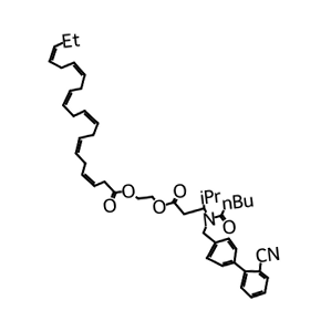 CC/C=C\C/C=C\C/C=C\C/C=C\C/C=C\C/C=C\CC(=O)OCCOC(=O)CC(C(C)C)N(Cc1ccc(-c2ccccc2C#N)cc1)C(=O)CCCC